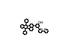 Oc1cc(-c2cccc(-c3ccccn3)n2)cc(-c2ccc3c4c(cccc24)-c2c-3c(-c3ccccc3)c3ccccc3c2-c2ccccc2)c1